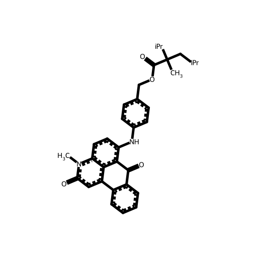 CC(C)CC(C)(C(=O)OCc1ccc(Nc2ccc3c4c(cc(=O)n3C)-c3ccccc3C(=O)c24)cc1)C(C)C